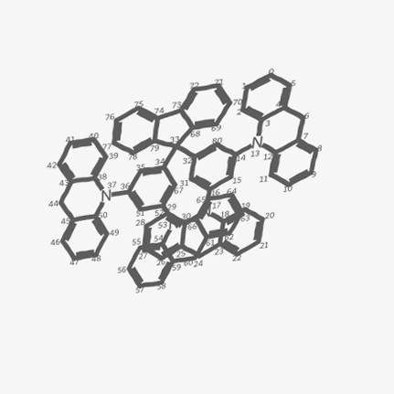 c1ccc2c(c1)Cc1ccccc1N2c1cc(N2c3ccccc3Cc3ccccc32)cc(C2(c3cc(N4c5ccccc5Cc5ccccc54)cc(N4c5ccccc5Cc5ccccc54)c3)c3ccccc3-c3ccccc32)c1